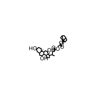 CC(CCC(=O)OCC(=O)OC1(C)C2CC3CC(C2)CC1C3)C1CCC2C3C(C[C@H](O)[C@]12C)[C@@]1(C)CC[C@@H](O)CC1C[C@H]3O